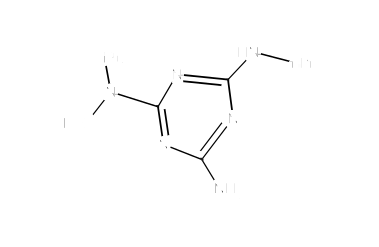 CCCNc1nc(N)nc(N(C)C(C)CC)n1